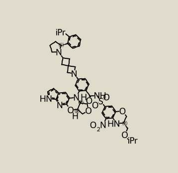 CC(C)OC[C@@H]1COc2cc(S(=O)(=O)NC(=O)c3ccc(N4CC5(CC(N6CCC[C@H]6c6ccccc6C(C)C)C5)C4)cc3N3c4cc5cc[nH]c5nc4O[C@@H]4COC[C@H]43)cc([N+](=O)[O-])c2N1